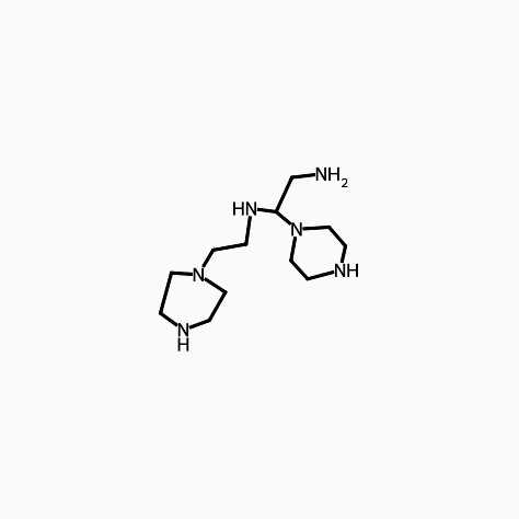 NCC(NCCN1CCNCC1)N1CCNCC1